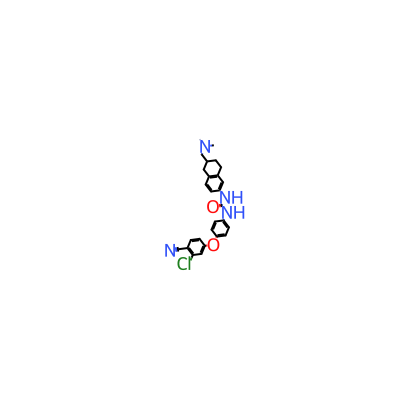 CN(C)CC1CCc2cc(NC(=O)Nc3ccc(Oc4ccc(C#N)c(Cl)c4)cc3)ccc2C1